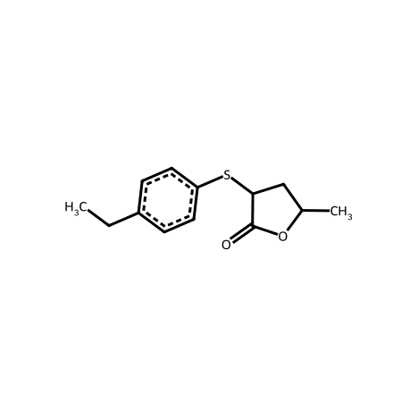 CCc1ccc(SC2CC(C)OC2=O)cc1